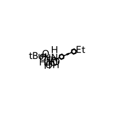 CCc1ccc(C#Cc2ccc(C(=O)N[C@@H](CNC(=O)OC(C)(C)C)C(=O)NO)cc2)cc1